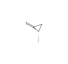 C[C@H]1CC1=S